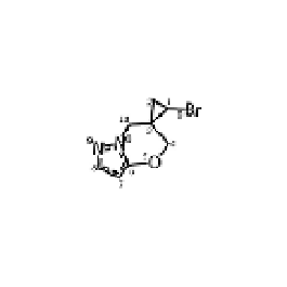 BrC1CC12COc1ccnn1C2